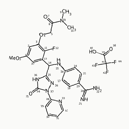 COc1cc(OCC(=O)N(C)C)c(F)c(C(Nc2ccc(C(=N)N)cc2)c2nn(-c3ccccn3)c(=O)[nH]2)c1.O=C(O)C(F)(F)F